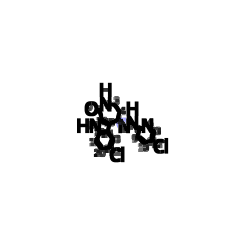 O=C1NCC/C(=N\Nc2ccc(Cl)cn2)c2c1[nH]c1ccc(Cl)cc21